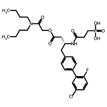 CCCCN(CCCC)C(=O)COC(=O)C[C@@H](Cc1ccc(-c2cc(Cl)ccc2F)cc1)NC(=O)CCP(=O)(O)O